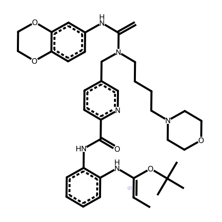 C=C(Nc1ccc2c(c1)OCCO2)N(CCCCN1CCOCC1)Cc1ccc(C(=O)Nc2ccccc2N/C(=C/C)OC(C)(C)C)nc1